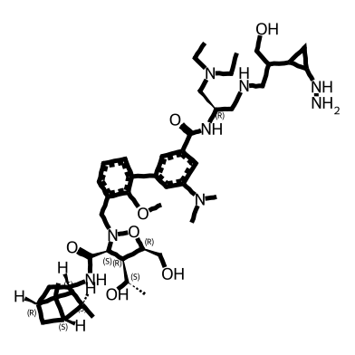 CCN(CC)C[C@@H](CNCC(CO)C1CC1NN)NC(=O)c1cc(-c2cccc(CN3O[C@@H](CO)[C@@H]([C@H](C)O)[C@H]3C(=O)N[C@H]3C[C@H]4C[C@@H]([C@@H]3C)C4(C)C)c2OC)cc(N(C)C)c1